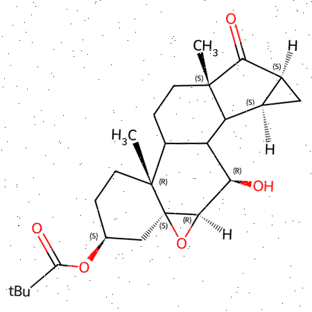 CC(C)(C)C(=O)O[C@H]1CC[C@]2(C)C3CC[C@]4(C)C(=O)[C@H]5C[C@H]5C4C3[C@@H](O)[C@H]3O[C@]32C1